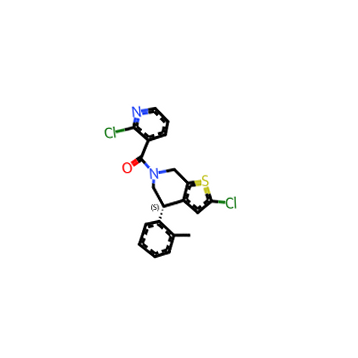 Cc1ccccc1[C@@H]1CN(C(=O)c2cccnc2Cl)Cc2sc(Cl)cc21